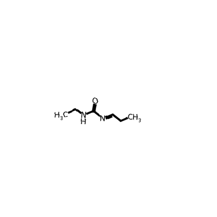 CCC=NC(=O)NCC